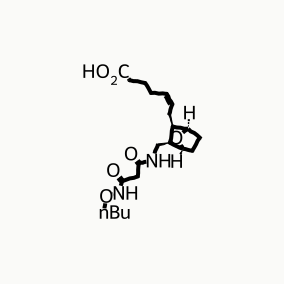 CCCCONC(=O)CC(=O)NC[C@H]1[C@@H](C/C=C\CCCC(=O)O)[C@H]2CC[C@@H]1O2